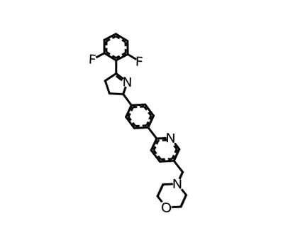 Fc1cccc(F)c1C1=NC(c2ccc(-c3ccc(CN4CCOCC4)cn3)cc2)CC1